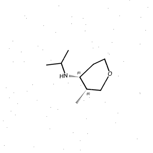 CC(C)N[C@@H]1CCOC[C@@H]1C